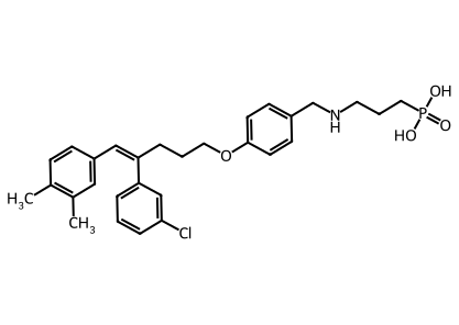 Cc1ccc(C=C(CCCOc2ccc(CNCCCP(=O)(O)O)cc2)c2cccc(Cl)c2)cc1C